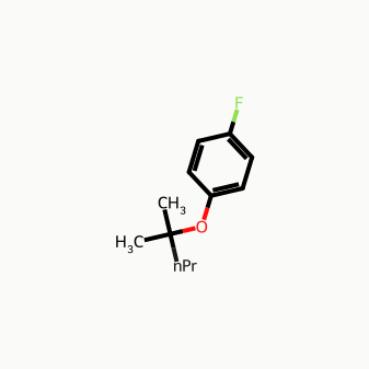 CCCC(C)(C)Oc1ccc(F)cc1